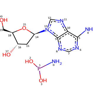 NP(O)O.Nc1ncnc2c1ncn2[C@H]1C[C@H](O)[C@@H](CO)O1